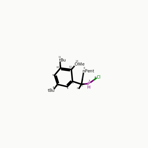 CCCCCC(C)(PCl)c1cc(C(C)(C)C)cc(C(C)(C)C)c1OC